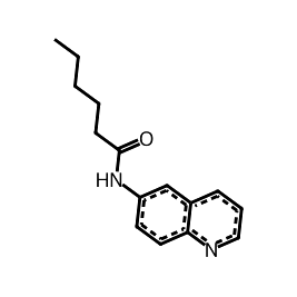 CCCCCC(=O)Nc1ccc2ncccc2c1